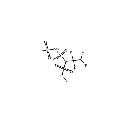 COS(=O)(=O)C(C(F)(F)C(F)F)S(=O)(=O)NS(C)(=O)=O